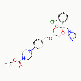 COC(=O)N1CCN(c2ccc(CO[C@H]3CO[C@](Cn4ccnc4)(c4ccccc4Cl)OC3)cc2)CC1